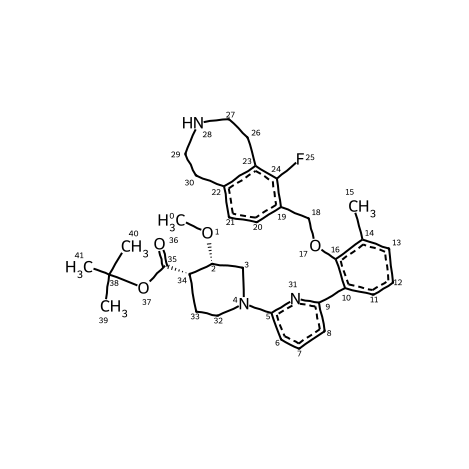 CO[C@@H]1CN(c2cccc(-c3cccc(C)c3OCc3ccc4c(c3F)CCNCC4)n2)CC[C@@H]1C(=O)OC(C)(C)C